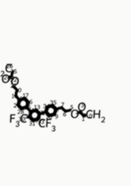 C=CC(=O)OCCCc1ccc(-c2cc(-c3ccc(CCCOC(=O)C=C)cc3)c(C(F)(F)F)cc2C(F)(F)F)cc1